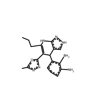 Bc1c(N)cccc1C1C(c2nnc(C)o2)=C(CCC)Nc2n[nH]cc21